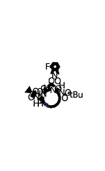 CC(C)(C)OC(=O)NC1CCCCC/C=C\[C@@H]2C[C@@]2(C(=O)NS(=O)(=O)C2CC2)NC(=O)[C@@H]2C[C@@H](OC(=O)N3Cc4cccc(F)c4C3)CN2C1=O